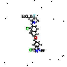 CCOC(=O)C1(F)CCCN(CC2=C(Cl)c3ccc(OCc4ccc5c(c4)c(Cl)nn5C(C)C)cc3CC2)C1